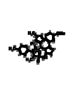 COc1cccc(-c2nnc(NS(=O)(=O)[C@@H](C)[C@@H](OC(C)C)c3ncc(C)cn3)n2[C@H](C)c2ncn(C)n2)n1